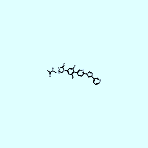 CC(=O)NC[C@H]1CN(c2cc(F)c(-c3ccc(-n4cnc(-c5cccnc5)c4)nc3)c(F)c2)C(=O)O1